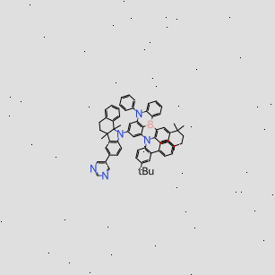 CC1CCC(C)(C)c2cc3c(cc21)N(c1ccc(C(C)(C)C)cc1C1=CC=C=C=C1)c1cc(N2c4ccc(-c5cncnc5)cc4C4(C)CCc5ccccc5C24C)cc2c1B3c1ccccc1N2c1ccccc1